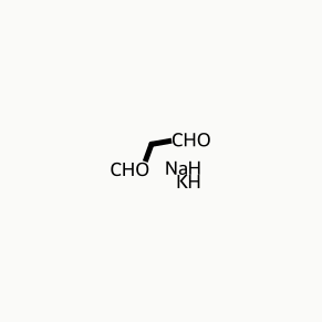 O=CCC=O.[KH].[NaH]